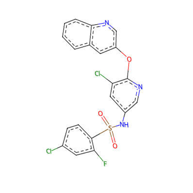 O=S(=O)(Nc1cnc(Oc2cnc3ccccc3c2)c(Cl)c1)c1ccc(Cl)cc1F